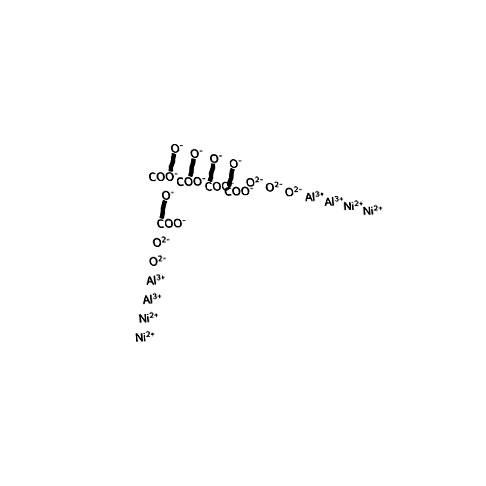 O=C([O-])[O-].O=C([O-])[O-].O=C([O-])[O-].O=C([O-])[O-].O=C([O-])[O-].[Al+3].[Al+3].[Al+3].[Al+3].[Ni+2].[Ni+2].[Ni+2].[Ni+2].[O-2].[O-2].[O-2].[O-2].[O-2]